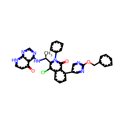 C[C@H](Nc1ncnc2[nH]ccc(=O)c12)c1c(Cl)c2cccc(-c3cnc(OCc4ccccc4)nc3)c2c(=O)n1-c1ccccc1